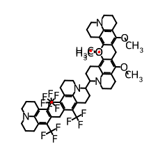 COc1c(Cc2c(OC)c3c4c(c2OC)CCC(C2CCc5c6c(c(C(F)(F)F)c(Cc7c(C(F)(F)F)c8c9c(c7C(F)(F)F)CCCN9CCC8)c5C(F)(F)F)CCCN62)N4CCC3)c(OC)c2c3c1CCCN3CCC2